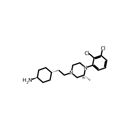 C[C@@H]1CN(CC[C@H]2CC[C@H](N)CC2)CCN1c1cccc(Cl)c1Cl